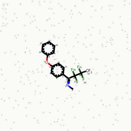 C/N=C(/c1ccc(Oc2ccccc2)cc1)C(F)(F)C(F)(F)C(F)(F)F